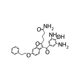 NC(=O)CCCc1oc2cc(OCCc3ccccc3)ccc2c1C(=O)c1cc(N)c(O)c(N)c1